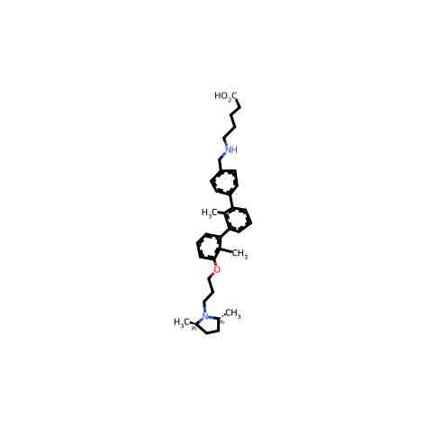 Cc1c(OCCCN2[C@H](C)CC[C@H]2C)cccc1-c1cccc(-c2ccc(CNCCCCC(=O)O)cc2)c1C